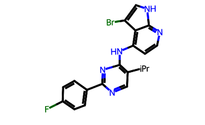 CC(C)c1cnc(-c2ccc(F)cc2)nc1Nc1ccnc2[nH]cc(Br)c12